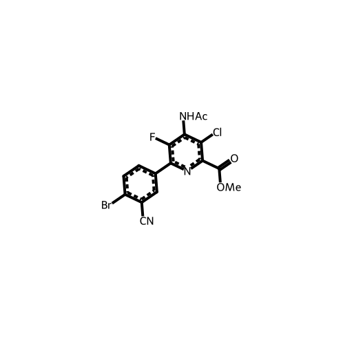 COC(=O)c1nc(-c2ccc(Br)c(C#N)c2)c(F)c(NC(C)=O)c1Cl